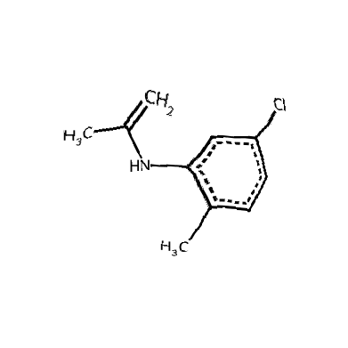 C=C(C)Nc1cc(Cl)ccc1C